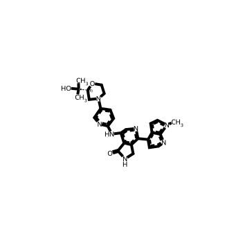 Cn1ccc2c(-c3ncc(Nc4ccc(N5CCO[C@@H](C(C)(C)O)C5)cn4)c4c3CNC4=O)ccnc21